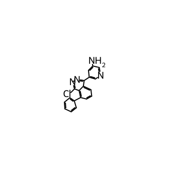 Nc1cncc(-c2nnc(Cl)c3c(-c4ccccc4)cccc23)c1